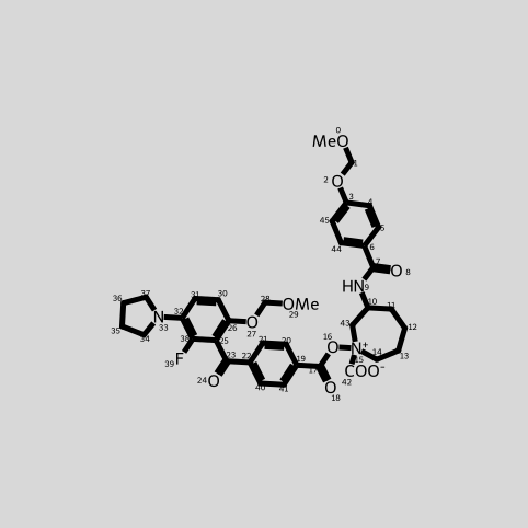 COCOc1ccc(C(=O)NC2CCCC[N+](OC(=O)c3ccc(C(=O)c4c(OCOC)ccc(N5CCCC5)c4F)cc3)(C(=O)[O-])C2)cc1